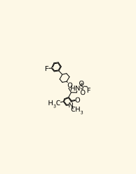 Cc1cc(C(CNS(=O)(=O)CF)COC2CCC(c3cccc(F)c3)CC2)c(=O)n(C)c1